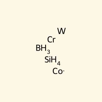 B.[Co].[Cr].[SiH4].[W]